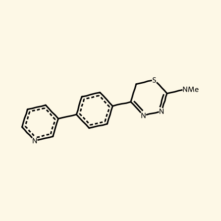 CNC1=NN=C(c2ccc(-c3cccnc3)cc2)CS1